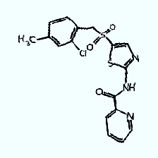 Cc1ccc(CS(=O)(=O)c2cnc(NC(=O)c3ccccn3)s2)c(Cl)c1